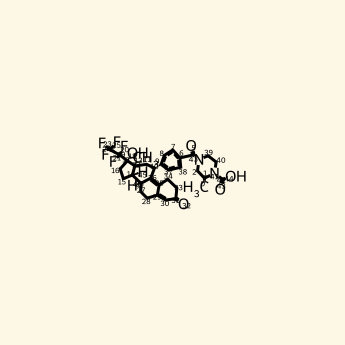 CC1CN(C(=O)c2ccc([C@H]3C[C@@]4(C)[C@@H](CC[C@@]4(O)C(F)(F)C(F)(F)F)[C@@H]4CCC5=CC(=O)CCC5=C43)cc2)CCN1C(=O)O